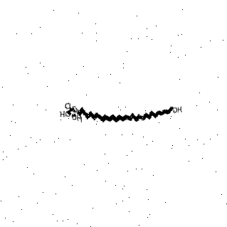 O=P(O)(O)OCCCCCCCCCCCCCCCCCCCCCCCCCCCCO